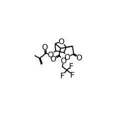 C=C(C)C(=O)OC1C2OC(=O)C3C2OC1C3C(=O)OCC(F)(F)F